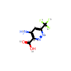 Nc1cc(C(F)(F)F)nnc1C(=O)O